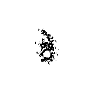 CC[C@H]1OC(=O)[C@H](C)[C@@H](OC2C[C@@](C)(OC)[C@@H](O)[C@H](C)O2)C[C@@H](OC2O[C@H](C)C[C@H](N(C)CC(O)CNc3ncc(C)s3)[C@H]2O)[C@](C)(O)C[C@@H](C)C(=O)[C@H](C)[C@@H](O)[C@]1(C)O